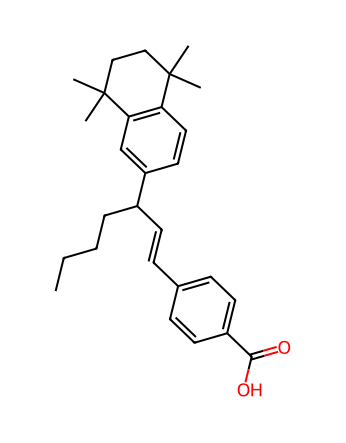 CCCCC(/C=C/c1ccc(C(=O)O)cc1)c1ccc2c(c1)C(C)(C)CCC2(C)C